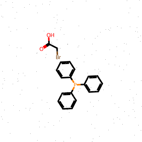 O=C(O)CBr.c1ccc(P(c2ccccc2)c2ccccc2)cc1